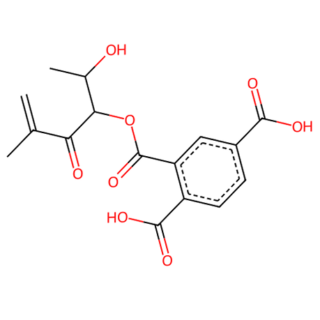 C=C(C)C(=O)C(OC(=O)c1cc(C(=O)O)ccc1C(=O)O)C(C)O